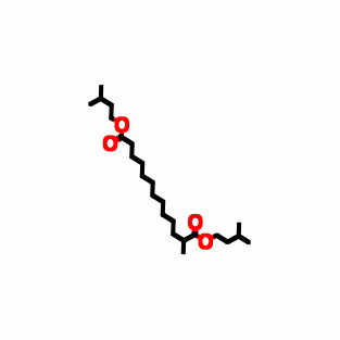 CC(C)CCOC(=O)CCCCCCCCCCC(C)C(=O)OCCC(C)C